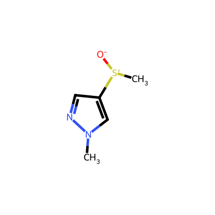 Cn1cc([S+](C)[O-])cn1